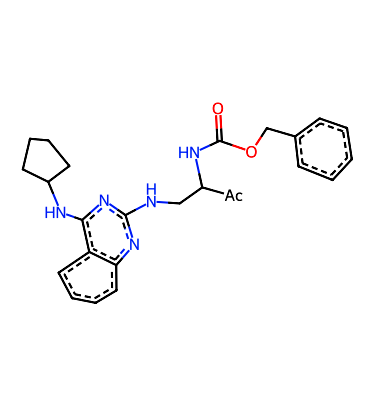 CC(=O)C(CNc1nc(NC2CCCC2)c2ccccc2n1)NC(=O)OCc1ccccc1